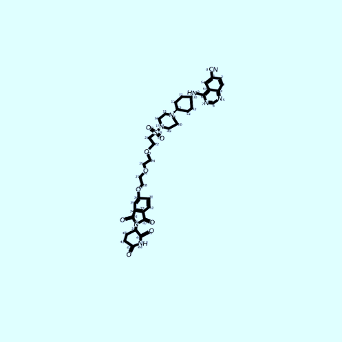 N#Cc1ccc2ncnc(N[C@H]3CC[C@H](N4CCN(S(=O)(=O)CCOCCOCCOc5ccc6c(c5)C(=O)N(C5CCC(=O)NC5=O)C6=O)CC4)CC3)c2c1